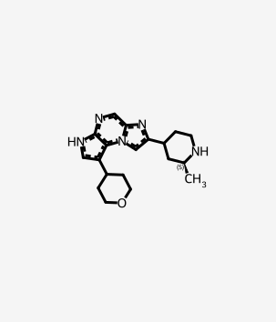 C[C@H]1CC(c2cn3c(cnc4[nH]cc(C5CCOCC5)c43)n2)CCN1